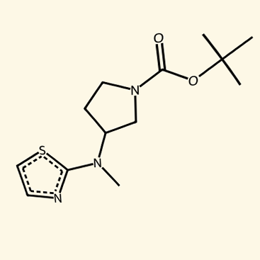 CN(c1nccs1)C1CCN(C(=O)OC(C)(C)C)C1